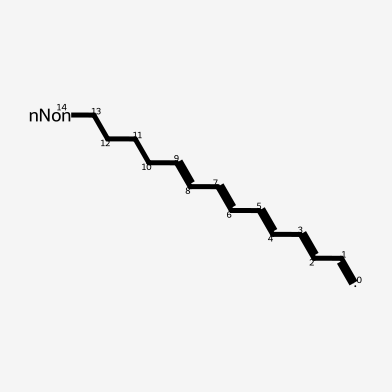 [CH]=C/C=C/C=C/C=C/C=C/CCCCCCCCCCCCC